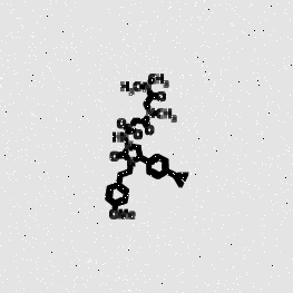 COc1ccc(CCN2C(=O)N(NS(=O)(=O)CC(=O)N(C)CC(=O)N(C)C)CC2c2ccc(C3CC3)cc2)cc1